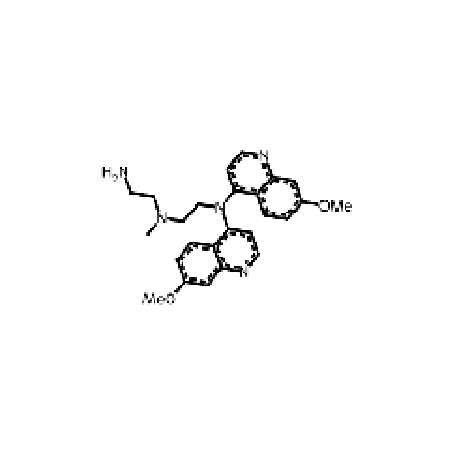 COc1ccc2c(N(CCN(C)CCN)c3ccnc4cc(OC)ccc34)ccnc2c1